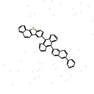 c1ccc(-c2ccc3cc(-c4c5ccccc5c(-c5ccc6sc7c8ccccc8ccc7c6c5)c5ccccc45)ccc3c2)cc1